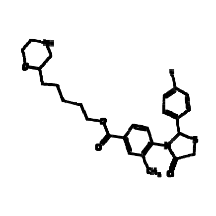 Cc1cc(C(=O)OCCCCCC2CNCCO2)ccc1N1C(=O)CSC1c1ccc(F)cc1